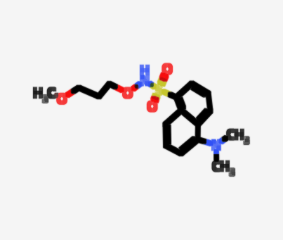 COCCCONS(=O)(=O)c1cccc2c(N(C)C)cccc12